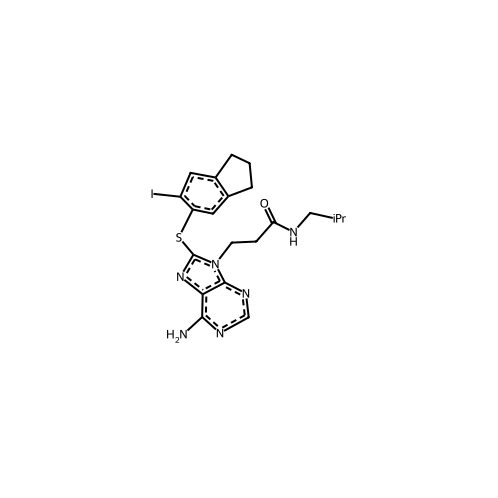 CC(C)CNC(=O)CCn1c(Sc2cc3c(cc2I)CCC3)nc2c(N)ncnc21